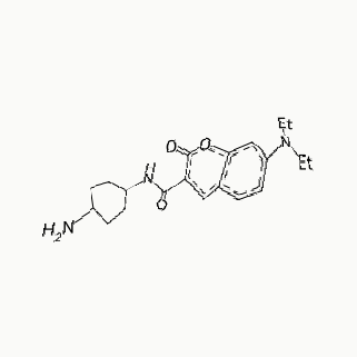 CCN(CC)c1ccc2cc(C(=O)NC3CCC(N)CC3)c(=O)oc2c1